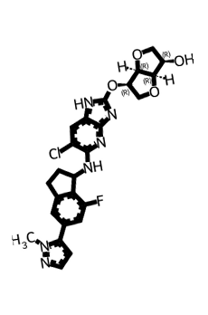 Cn1nccc1-c1cc(F)c2c(c1)CCC2Nc1nc2nc(O[C@@H]3CO[C@H]4[C@@H]3OC[C@H]4O)[nH]c2cc1Cl